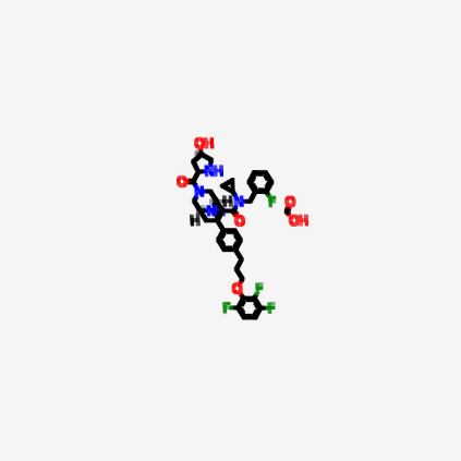 O=C(C1C[C@@H](O)CN1)N1C[C@@H]2CC(c3ccc(CCCOc4c(F)ccc(F)c4F)cc3)=C(C(=O)N(Cc3ccccc3F)C3CC3)[C@H](C1)N2.O=CO